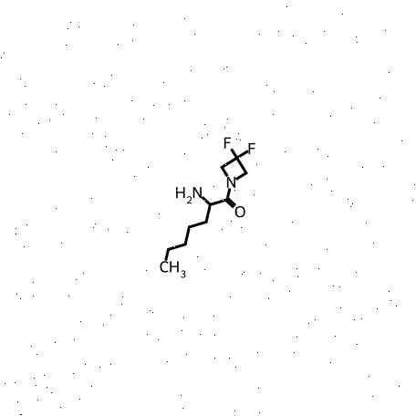 CCCCCC(N)C(=O)N1CC(F)(F)C1